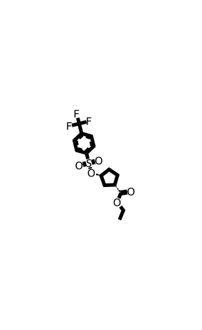 CCOC(=O)[C@H]1CC[C@@H](OS(=O)(=O)c2ccc(C(F)(F)F)cc2)C1